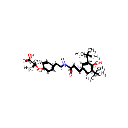 CC(C)(Oc1ccc(CCNC(=O)/C=C/c2cc(C(C)(C)C)c(O)c(C(C)(C)C)c2)cc1)C(=O)O